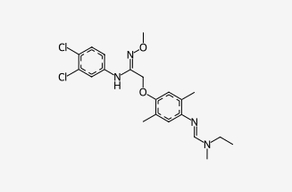 CCN(C)/C=N/c1cc(C)c(OC/C(=N\OC)Nc2ccc(Cl)c(Cl)c2)cc1C